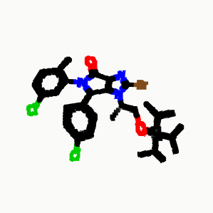 Cc1ccc(Cl)cc1N1C(=O)c2nc(Br)n([C@@H](C)CO[Si](C(C)C)(C(C)C)C(C)C)c2C1c1ccc(Cl)cc1